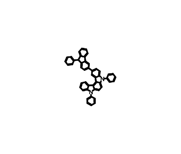 c1ccc(C2c3ccccc3-c3cc(-c4ccc5c(c4)c4c6c7ccccc7n(-c7ccccc7)c6ccc4n5-c4ccccc4)ccc32)cc1